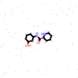 O=C(NC1CC[CH]C(O)C1)[C@@H]1CCCCN1